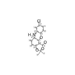 CC1(C)OC(=O)c2c(Oc3ccc(Cl)cc3N)cccc2O1